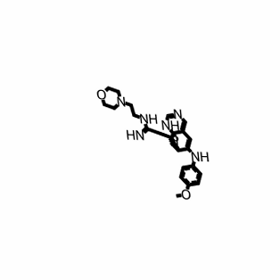 COc1ccc(NC2=CC3=CN=CNC34SC(C(=N)NCCN3CCOCC3)=NC4=C2)cc1